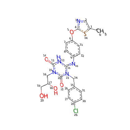 Cc1cnc(Oc2ccc(/N=c3\[nH]c(=O)n(CC(O)CO)c(=O)n3Cc3ccc(Cl)cc3)cc2)s1